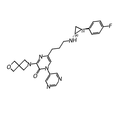 O=c1c(N2CC3(COC3)C2)nc(CCCN[C@@H]2C[C@H]2c2ccc(F)cc2)cn1-c1cncnc1